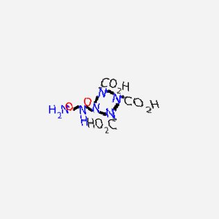 NOCCNC(=O)CN1CCN(CC(=O)O)CCN(CC(=O)O)CCN(CC(=O)O)CC1